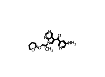 C[C@H](CO[C@@H]1CCCCO1)n1cc(C(=O)c2cncc(N)c2)c2cncnc21